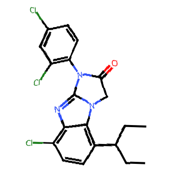 CCC(CC)c1ccc(Cl)c2nc3n(c12)CC(=O)N3c1ccc(Cl)cc1Cl